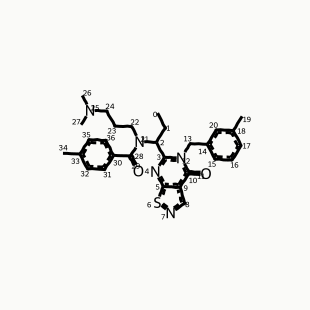 CCC(c1nc2sncc2c(=O)n1Cc1cccc(C)c1)N(CCCN(C)C)C(=O)c1ccc(C)cc1